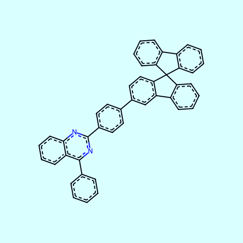 c1ccc(-c2nc(-c3ccc(-c4ccc5c(c4)-c4ccccc4C54c5ccccc5-c5ccccc54)cc3)nc3ccccc23)cc1